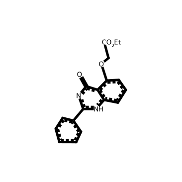 CCOC(=O)COc1cccc2[nH]c(-c3ccccc3)nc(=O)c12